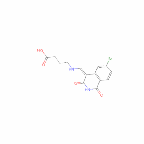 O=C(O)CCCNC=C1C(=O)NC(=O)c2ccc(Br)cc21